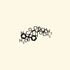 COC(c1ccccc1)(c1ccccc1)[C@H](C)OC(=O)[C@H](C)NC(=O)OC(C)(C)C